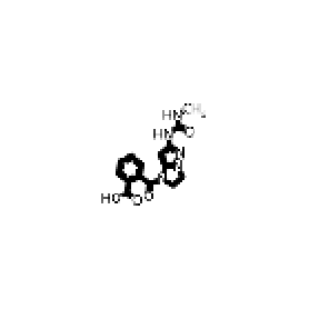 CNC(=O)Nc1cc2n(n1)CCN2C(=O)c1ccccc1C(=O)O